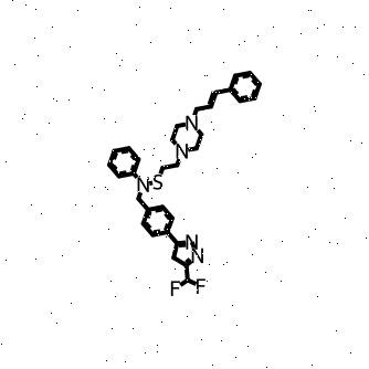 FC(F)C1=NN=C(c2ccc(CN(SCCN3CCN(C/C=C/c4ccccc4)CC3)c3ccccc3)cc2)C1